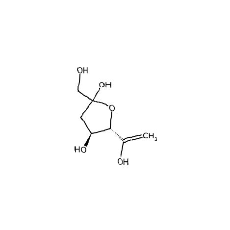 C=C(O)[C@H]1OC(O)(CO)C[C@@H]1O